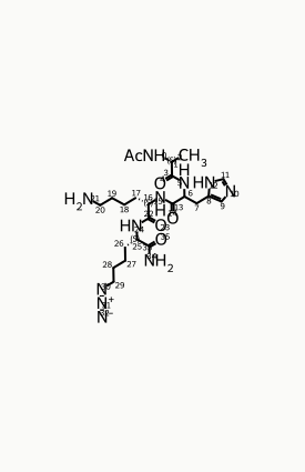 CC(=O)N[C@@H](C)C(=O)NC(Cc1cnc[nH]1)C(=O)N[C@@H](CCCCN)C(=O)N[C@@H](CCCCN=[N+]=[N-])C(N)=O